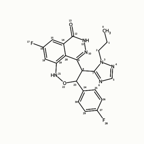 CCCn1ncnc1C1c2n[nH]c(=O)c3cc(F)cc(c23)NOC1c1ccc(F)cc1